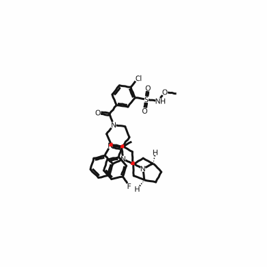 CONS(=O)(=O)c1cc(C(=O)N2CCC(CCN3[C@@H]4CC[C@H]3CC(n3c(C)nc5ccccc53)C4)(c3cccc(F)c3)CC2)ccc1Cl